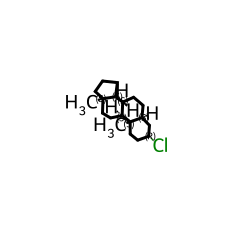 C[C@@]12CCC[C@H]1[C@@H]1CC[C@H]3C[C@H](Cl)CC[C@]3(C)[C@H]1CC2